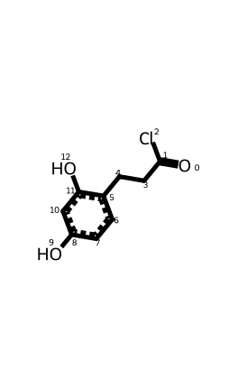 O=C(Cl)CCc1ccc(O)cc1O